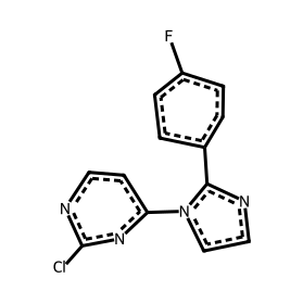 Fc1ccc(-c2nccn2-c2ccnc(Cl)n2)cc1